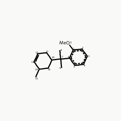 COc1ccccc1C(C)(C)C1CC=CC(C)C1